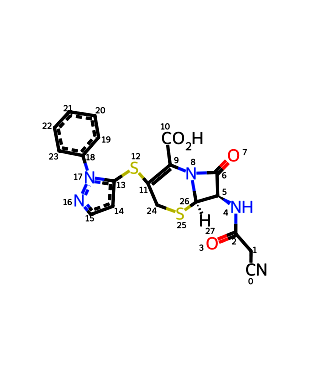 N#CCC(=O)N[C@@H]1C(=O)N2C(C(=O)O)=C(Sc3ccnn3-c3ccccc3)CS[C@H]12